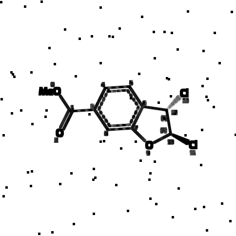 COC(=O)c1ccc2c(c1)O[C@H](Cl)[C@H]2Cl